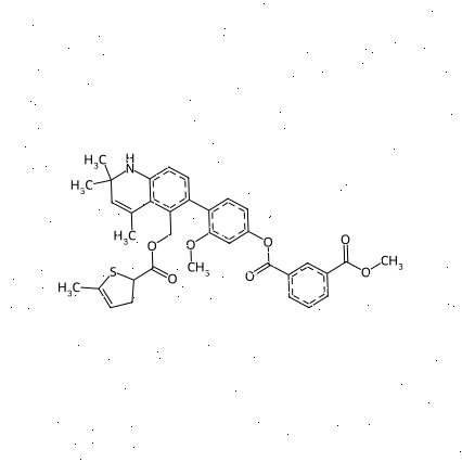 COC(=O)c1cccc(C(=O)Oc2ccc(-c3ccc4c(c3COC(=O)C3CC=C(C)S3)C(C)=CC(C)(C)N4)c(OC)c2)c1